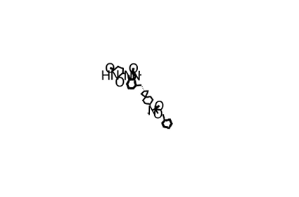 Cn1c(=O)n(C2CCC(=O)NC2=O)c2cccc(C[C@H]3CC4(CC[C@H](N(C)C(=O)OCc5ccccc5)CC4)C3)c21